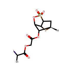 CCC(I)C(=O)OCC(=O)OC1C2OS(=O)(=O)C3C[C@@H]1SC23